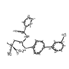 C[C@@](O)(CN(Cc1ccc(-c2cccc(Cl)c2)cc1)NC(=O)c1cnn[nH]1)C(=O)O